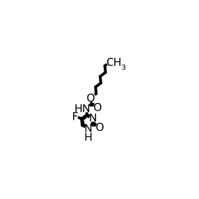 CCCCCCCOC(=O)Nc1nc(=O)[nH]cc1F